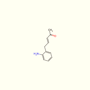 CC(=O)C=CCc1ccccc1N